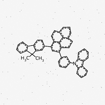 CC1(C)c2ccccc2-c2ccc(-c3cc(-c4cccc(-n5c6ccccc6c6ccccc65)c4)c4ccc5cccc6ccc3c4c56)cc21